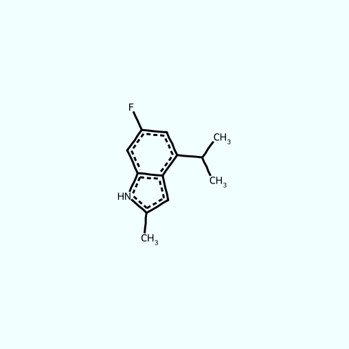 Cc1cc2c(C(C)C)cc(F)cc2[nH]1